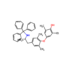 CCc1cc(Oc2c(C)cc(CC(NC(c3ccccc3)(c3ccccc3)c3ccccc3)C(=O)O)cc2C)cc(C)c1O